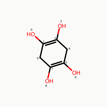 OC1=C(O)CC(O)=C(O)C1